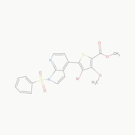 COC(=O)c1sc(-c2ccnc3c2ccn3S(=O)(=O)c2ccccc2)c(Br)c1OC